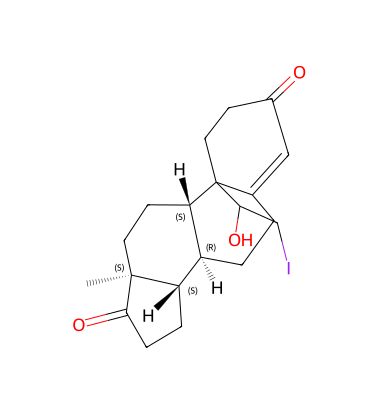 C[C@]12CC[C@H]3[C@@H](CCC4=CC(=O)CCC43C(O)CI)[C@@H]1CCC2=O